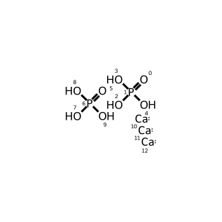 O=P(O)(O)O.O=P(O)(O)O.[Ca].[Ca].[Ca]